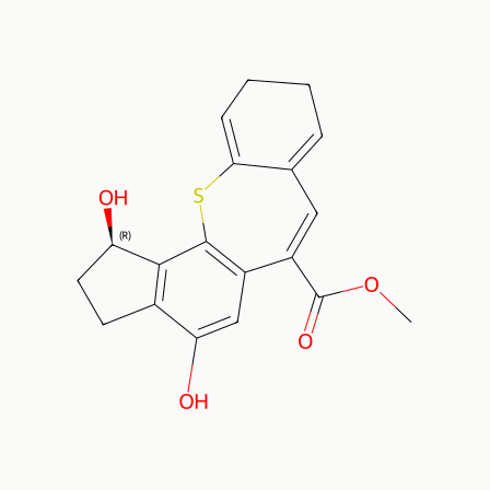 COC(=O)C1=CC2=CCCC=C2Sc2c1cc(O)c1c2[C@H](O)CC1